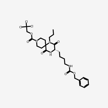 CCCN1C(=O)[C@H](CCCCNC(=O)OCc2ccccc2)NC(=O)C12CCN(C(=O)OCC(Cl)(Cl)Cl)CC2